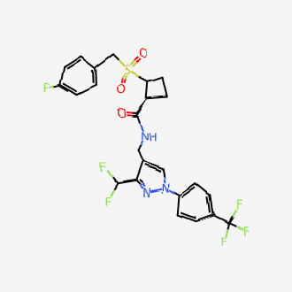 O=C(NCc1cn(-c2ccc(C(F)(F)F)cc2)nc1C(F)F)[C@@H]1CCC1S(=O)(=O)Cc1ccc(F)cc1